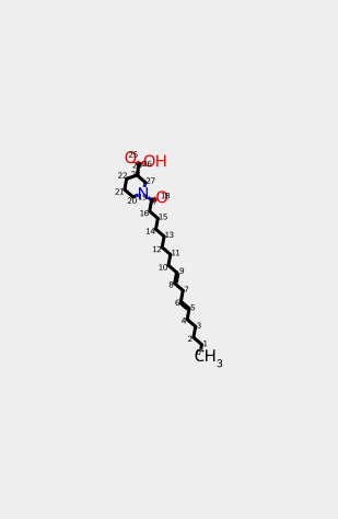 CCCCC/C=C/C/C=C/CCCCCCCC(=O)N1CCCC(C(=O)O)C1